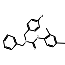 Cc1ccc(NC(=O)N(Cc2ccccc2)Cc2ccc(Cl)cc2)c(C)c1